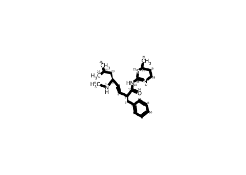 CN[C@H](/C=C/[C@H](Cc1ccccc1)C(=O)NC1=NCCC(C)S1)CC(C)C